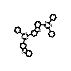 c1ccc(-c2nc(-c3ccc4oc5ccccc5c4c3)nc(-c3ccc4sc5c(-c6nc(-c7ccccc7)nc(-c7ccccc7)n6)cccc5c4c3)n2)cc1